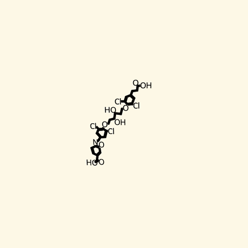 O=C(O)CCc1cc(Cl)c(OCC[C@@H](O)[C@H](O)CCOc2c(Cl)cc(-c3nc4ccc(C(=O)O)cc4o3)cc2Cl)c(Cl)c1